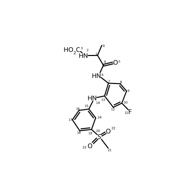 CC(NC(=O)O)C(=O)Nc1ccc(F)cc1Nc1cccc(S(C)(=O)=O)c1